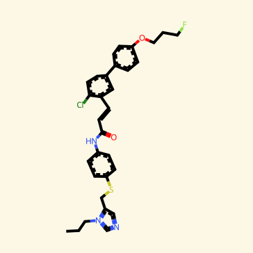 CCCn1cncc1CSc1ccc(NC(=O)/C=C/c2cc(-c3ccc(OCCCF)cc3)ccc2Cl)cc1